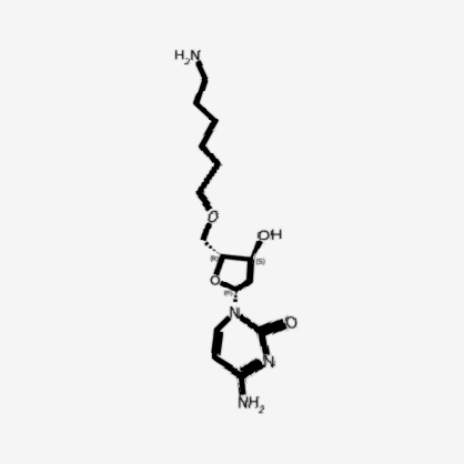 NCCCCCCOC[C@H]1O[C@@H](n2ccc(N)nc2=O)C[C@@H]1O